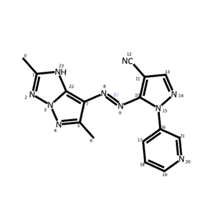 Cc1nn2nc(C)c(/N=N/c3c(C#N)cnn3-c3cccnc3)c2[nH]1